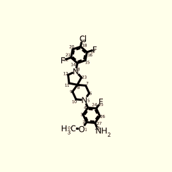 COc1cc(N2CCC3(CC2)CCN(c2cc(F)c(Cl)cc2F)C3)c(F)cc1N